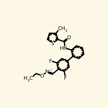 CCO/N=C/c1c(F)cc(-c2ccccc2NC(=O)c2sccc2C)cc1F